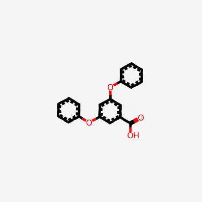 O=C(O)c1cc(Oc2ccccc2)cc(Oc2ccccc2)c1